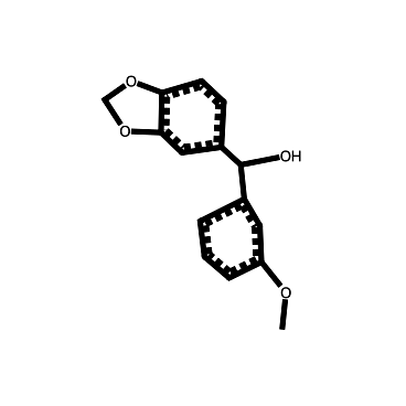 COc1cccc(C(O)c2ccc3c(c2)OCO3)c1